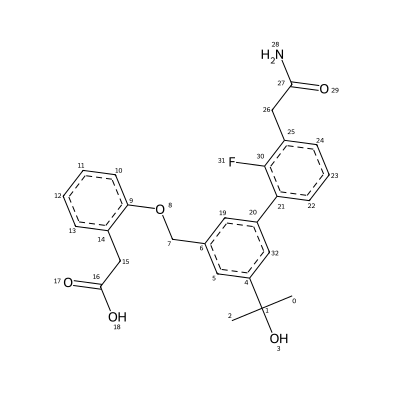 CC(C)(O)c1cc(COc2ccccc2CC(=O)O)cc(-c2cccc(CC(N)=O)c2F)c1